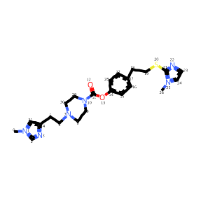 Cn1cnc(CCN2CCN(C(=O)Oc3ccc(CCSc4nccn4C)cc3)CC2)c1